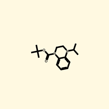 CC(C)N1CCN(C(=O)OC(C)(C)C)c2ccccc21